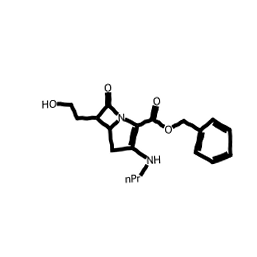 CCCNC1=C(C(=O)OCc2ccccc2)N2C(=O)C(CCO)C2C1